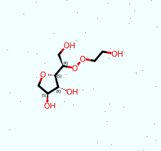 OCCOO[C@H](CO)[C@H]1OC[C@H](O)[C@H]1O